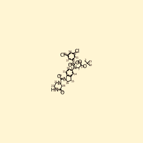 CC(C)(C)OC(=O)CN(c1ccc2c(c1)CCN2C(=O)N1CCNC(=O)C1)S(=O)(=O)c1cc(Cl)cc(Cl)c1